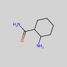 NC(=O)C1CCCCC1N